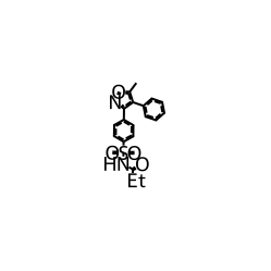 CCC(=O)NS(=O)(=O)c1ccc(-c2noc(C)c2-c2ccccc2)cc1